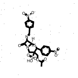 CC(=O)OCC1(S(=O)(=O)O)CN2C(=O)C(N=Cc3ccc([N+](=O)[O-])cc3)[C@H]2SC1c1ccc([N+](=O)[O-])cc1